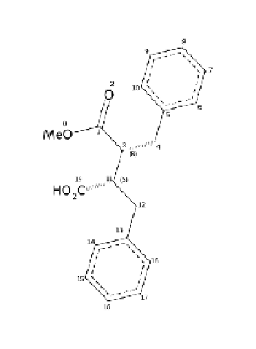 COC(=O)[C@H](Cc1ccccc1)[C@H](Cc1ccccc1)C(=O)O